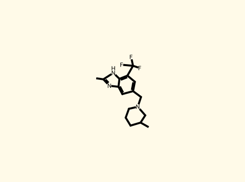 Cc1nc2cc(CN3CCCC(C)C3)cc(C(F)(F)F)c2[nH]1